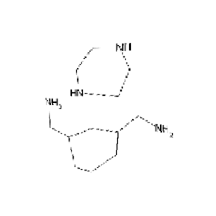 C1CNCCN1.NCC1CCCC(CN)C1